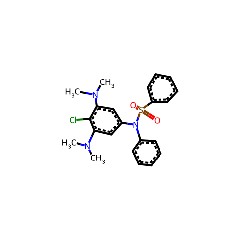 CN(C)c1cc(N(c2ccccc2)S(=O)(=O)c2ccccc2)cc(N(C)C)c1Cl